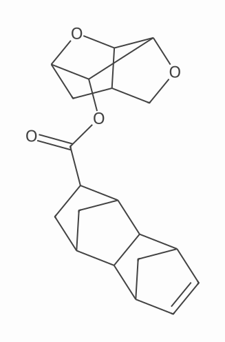 O=C(OC1C2CC3COC1C3O2)C1CC2CC1C1C3C=CC(C3)C21